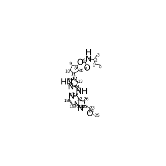 CC[C@H](C)NC(=O)O[C@@H]1CC[C@H](c2cc(Nc3nccn4nc(COC)cc34)n[nH]2)C1